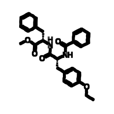 CCOc1ccc(C[C@@H](NC(=O)c2ccccc2)C(=O)N[C@@H](Cc2ccccc2)C(=O)OC)cc1